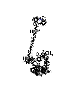 CCCCCON(C(=O)[C@@H](NC(=O)C[C@H]1CCCCN1C)[C@@H](C)CC)[C@H](C[C@@H](OC(C)=O)c1nc(C(=O)N[C@@H](Cc2ccc(NC(=O)C(CCCNC(N)=O)NC(=O)[C@@H](NC(=O)CCOCCOCCOCCOCCNC(=O)CCC(=O)N3Cc4ccccc4/C(CC)=C\c4ccccc43)C(C)C)cc2)CC(C)(C)C(=O)O)cs1)C(C)C